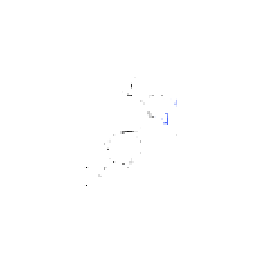 Cn1ncc(C(C)(C)C)c1-c1ccc(C(C)(C)C)cc1